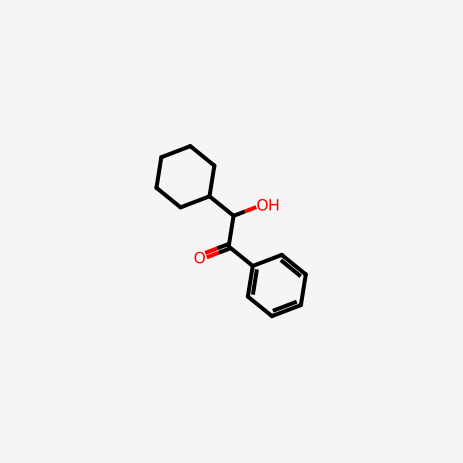 O=C(c1ccccc1)C(O)C1CCCCC1